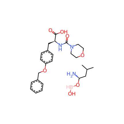 CC(C)C[C@H](N)OBO.O=C(O)[C@H](Cc1ccc(OCc2ccccc2)cc1)NC(=O)N1CCOCC1